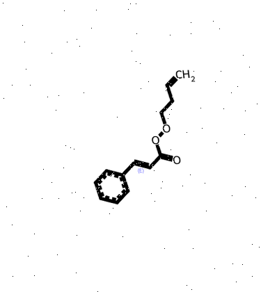 C=CCCOOC(=O)/C=C/c1ccccc1